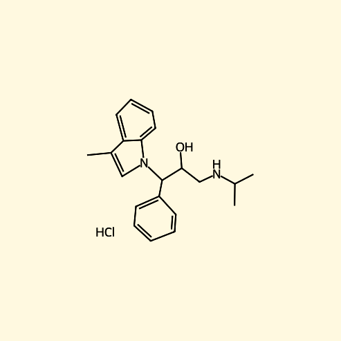 Cc1cn(C(c2ccccc2)C(O)CNC(C)C)c2ccccc12.Cl